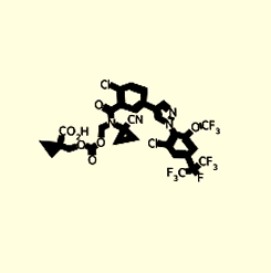 N#CC1(N(COC(=O)OCC2(C(=O)O)CC2)C(=O)c2cc(-c3cnn(-c4c(Cl)cc(C(F)(C(F)(F)F)C(F)(F)F)cc4OC(F)(F)F)c3)ccc2Cl)CC1